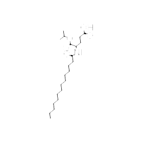 CCCCCCCCCCCCCC(=O)NC(CCC(=O)O)C(=O)OC(C)C